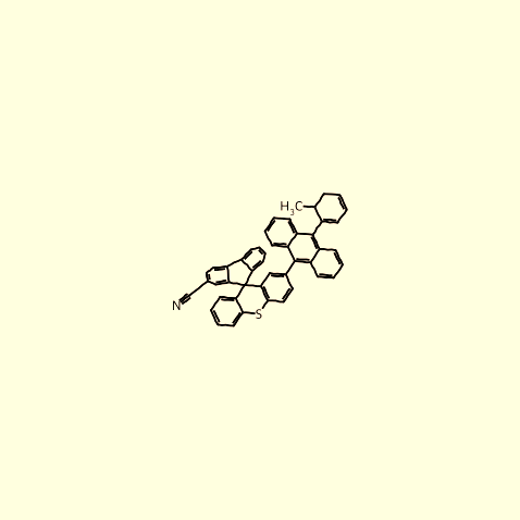 CC1CC=CC=C1c1c2ccccc2c(-c2ccc3c(c2)C2(c4ccccc4S3)c3ccccc3-c3ccc(C#N)cc32)c2ccccc12